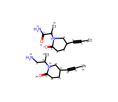 CCC#CC1CCC(=O)N(C(CC)C(N)=O)C1.CCC(CN)N1CC(C#CC(C)C)CCC1=O